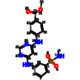 CNS(=O)(=O)c1cccc(Nc2cc(Nc3ccc(C(=O)OC)cc3)ncn2)c1